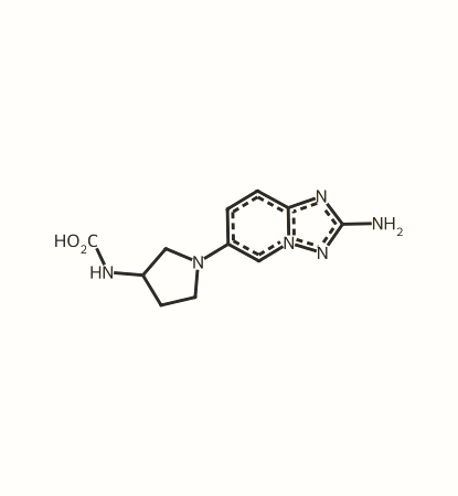 Nc1nc2ccc(N3CCC(NC(=O)O)C3)cn2n1